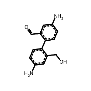 Nc1ccc(-c2ccc(N)cc2CO)c(C=O)c1